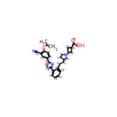 CC(C)Oc1ccc(-c2nc(-c3ccccc3CCC3CCN(C4CC(C(=O)O)C4)C3)no2)cc1C#N